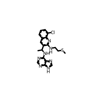 CSCCNc1nc2c(Cl)cccc2cc1C(C)Nc1ncnc2[nH]cnc12